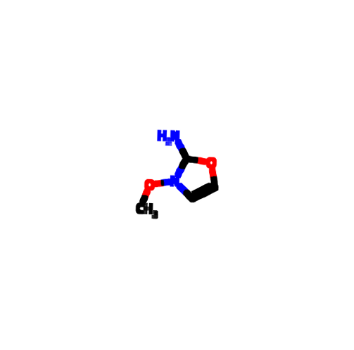 CON1C=COC1N